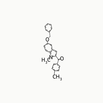 Cc1ccc(C(=O)c2cc3cc(OCc4ccccc4)ccc3n2C)cc1